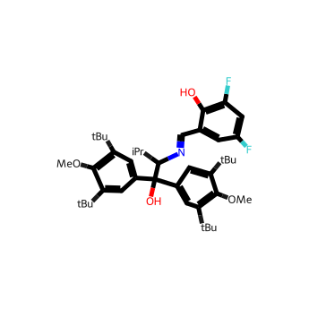 COc1c(C(C)(C)C)cc(C(O)(c2cc(C(C)(C)C)c(OC)c(C(C)(C)C)c2)C(N=Cc2cc(F)cc(F)c2O)C(C)C)cc1C(C)(C)C